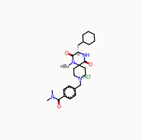 CCCCN1C(=O)[C@H](CC2CCCCC2)NC(=O)C12CCN(Cc1ccc(C(=O)N(C)C)cc1)CC2.Cl